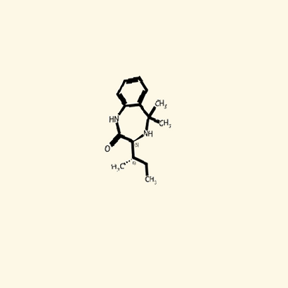 CC[C@H](C)[C@@H]1NC(C)(C)c2ccccc2NC1=O